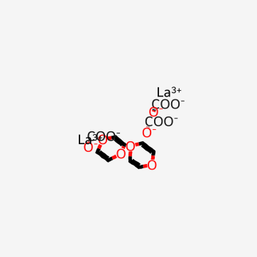 C1=COC=CO1.C1=COC=CO1.O=C([O-])[O-].O=C([O-])[O-].O=C([O-])[O-].[La+3].[La+3]